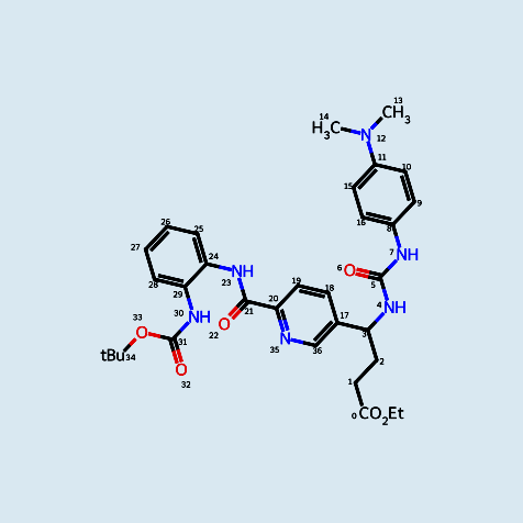 CCOC(=O)CCC(NC(=O)Nc1ccc(N(C)C)cc1)c1ccc(C(=O)Nc2ccccc2NC(=O)OC(C)(C)C)nc1